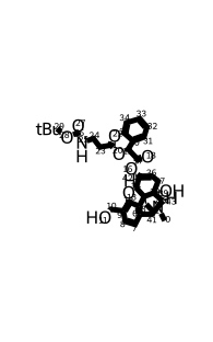 CN1CC[C@]23c4c5ccc(CO)c4O[C@H]2C(OC(=O)[C@@H](OC(=O)CCNC(=O)OC(C)(C)C)c2ccccc2)=CC[C@@]3(O)[C@H]1C5